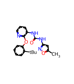 Cc1cc(NC(=O)Nc2cccnc2Oc2ccccc2C(C)(C)C)no1